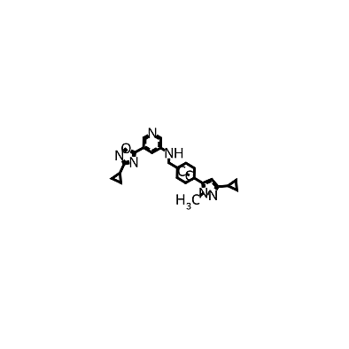 Cn1nc(C2CC2)cc1C12CCC(CNc3cncc(-c4nc(C5CC5)no4)c3)(CC1)CC2